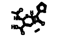 CC.CC(=O)NC1S[C@@H]2C(c3cccs3)C(=O)N2C=C1C(=O)O